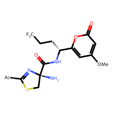 COc1cc([C@@H](CCC(F)(F)F)NC(=O)[C@]2(N)CSC(C(C)=O)=N2)oc(=O)c1